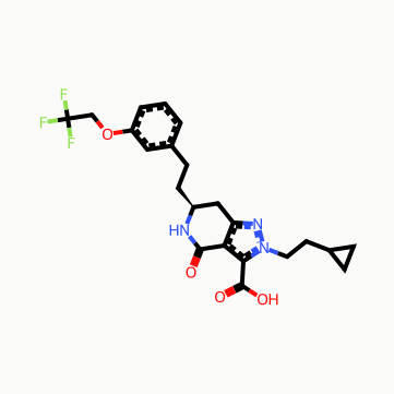 O=C1N[C@@H](CCc2cccc(OCC(F)(F)F)c2)Cc2nn(CCC3CC3)c(C(=O)O)c21